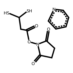 O=C(CC(S)S)ON1C(=O)CCC1=O.c1ccncc1